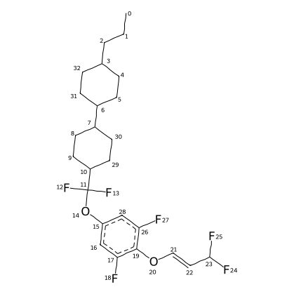 CCCC1CCC(C2CCC(C(F)(F)Oc3cc(F)c(OC=CC(F)F)c(F)c3)CC2)CC1